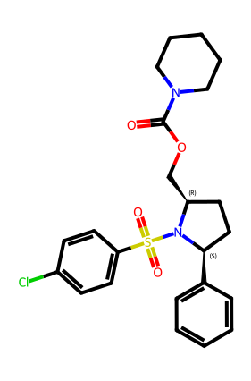 O=C(OC[C@H]1CC[C@@H](c2ccccc2)N1S(=O)(=O)c1ccc(Cl)cc1)N1CCCCC1